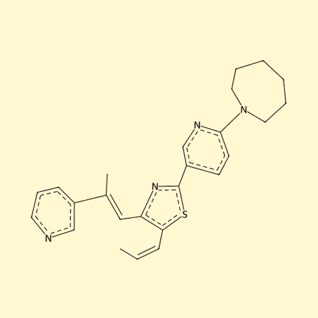 C/C=C\c1sc(-c2ccc(N3CCCCCC3)nc2)nc1/C=C(\C)c1cccnc1